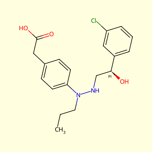 CCCN(NC[C@H](O)c1cccc(Cl)c1)c1ccc(CC(=O)O)cc1